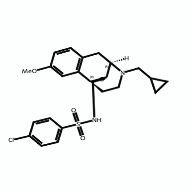 COc1ccc2c(c1)[C@]13CCN(CC4CC4)[C@H](C2)C1OCC(NS(=O)(=O)c1ccc(Cl)cc1)C3